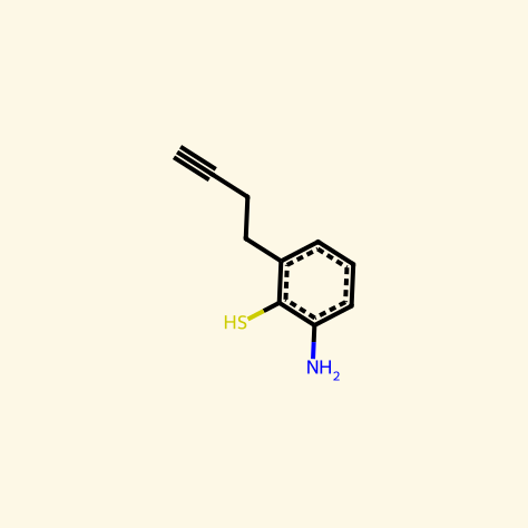 C#CCCc1cccc(N)c1S